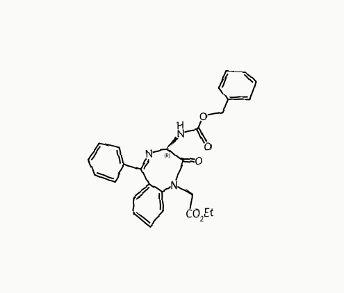 CCOC(=O)CN1C(=O)[C@H](NC(=O)OCc2ccccc2)N=C(c2ccccc2)c2ccccc21